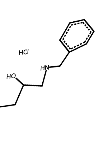 Cl.OC(CCCl)CNCc1ccccc1